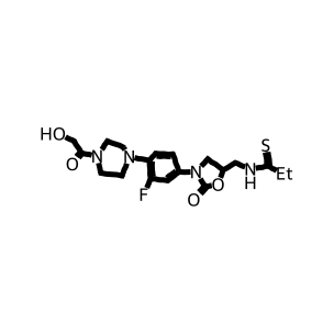 CCC(=S)NCC1CN(c2ccc(N3CCN(C(=O)CO)CC3)c(F)c2)C(=O)O1